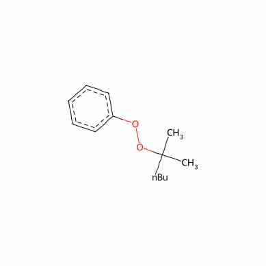 CCCCC(C)(C)OOc1ccccc1